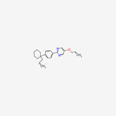 C=CCOc1cnc(-c2ccc(C3(CC=C)CCCCC3)cc2)nc1